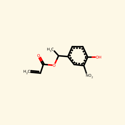 C=CC(=O)OC(C)c1ccc(O)c([N+](=O)[O-])c1